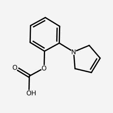 O=C(O)Oc1ccccc1N1CC=CC1